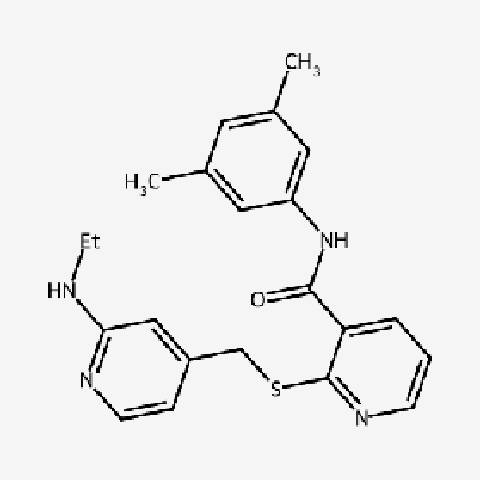 CCNc1cc(CSc2ncccc2C(=O)Nc2cc(C)cc(C)c2)ccn1